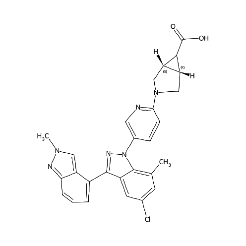 Cc1cc(Cl)cc2c(-c3cccc4nn(C)cc34)nn(-c3ccc(N4C[C@@H]5C(C(=O)O)[C@@H]5C4)nc3)c12